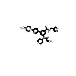 C=CC(=O)N(c1cc(C(=O)NCc2cnoc2)cc(-c2ccc(N3CCN(C)CC3)nc2)c1)C1CCOCC1